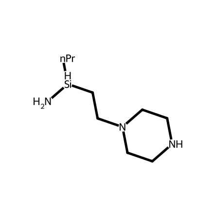 CCC[SiH](N)CCN1CCNCC1